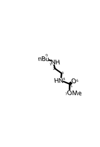 CCCCNCCNC(=O)OC